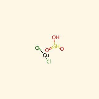 O=[SH](=O)O.[Cl][Cu][Cl]